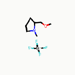 COCC1CCCN1C.F[B-](F)(F)F